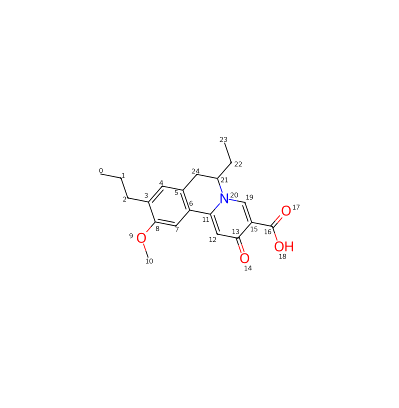 CCCc1cc2c(cc1OC)-c1cc(=O)c(C(=O)O)cn1C(CC)C2